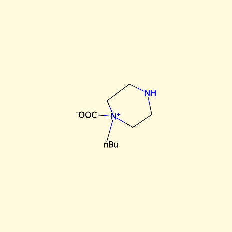 CCCC[N+]1(C(=O)[O-])CCNCC1